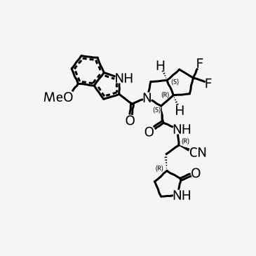 COc1cccc2[nH]c(C(=O)N3C[C@H]4CC(F)(F)C[C@H]4[C@H]3C(=O)N[C@@H](C#N)C[C@H]3CCNC3=O)cc12